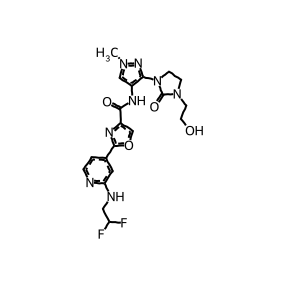 Cn1cc(NC(=O)c2coc(-c3ccnc(NCC(F)F)c3)n2)c(N2CCN(CCO)C2=O)n1